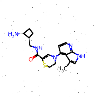 Cc1c[nH]c2nccc(N3C=C(C(=O)NC[C@@H]4CC[C@H]4N)SCC3)c12